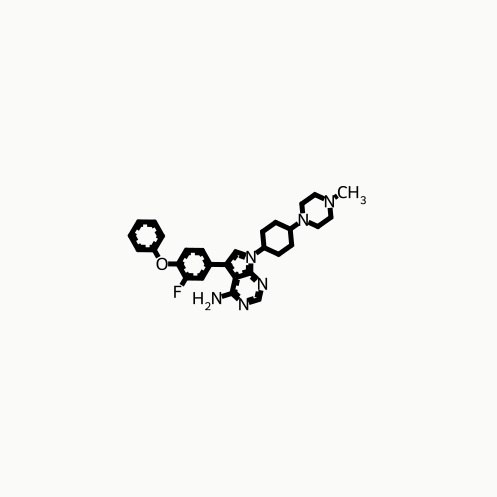 CN1CCN(C2CCC(n3cc(-c4ccc(Oc5ccccc5)c(F)c4)c4c(N)ncnc43)CC2)CC1